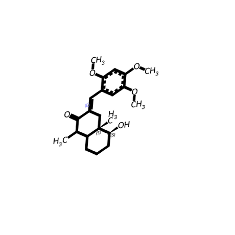 COc1cc(OC)c(OC)cc1/C=C1\C[C@@]2(C)C(CCC[C@@H]2O)C(C)C1=O